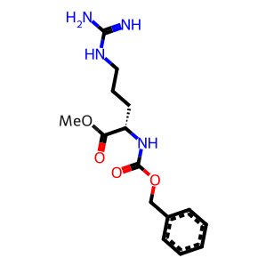 COC(=O)[C@H](CCCNC(=N)N)NC(=O)OCc1ccccc1